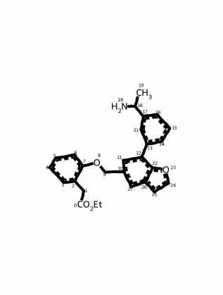 CCOC(=O)Cc1ccccc1OCc1cc(-c2cccc(C(C)N)c2)c2occc2c1